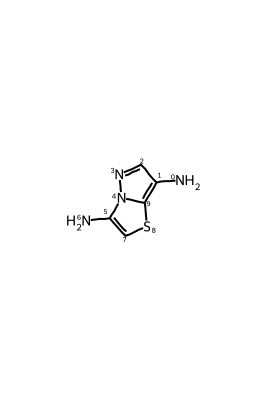 Nc1cnn2c(N)csc12